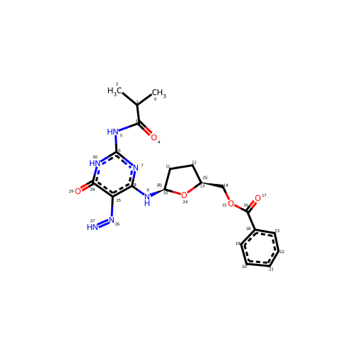 CC(C)C(=O)Nc1nc(N[C@H]2CC[C@@H](COC(=O)c3ccccc3)O2)c(N=N)c(=O)[nH]1